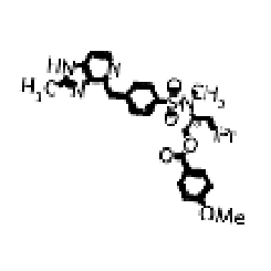 COc1ccc(C(=O)OC[C@H](CC(C)C)N(C)S(=O)(=O)c2ccc(Cc3nccc4[nH]c(C)nc34)cc2)cc1